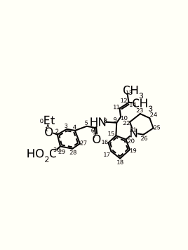 CCOc1cc(CC(=O)NC(CC=C(C)C)c2ccccc2N2CCCCC2)ccc1C(=O)O